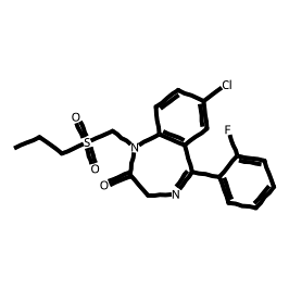 CCCS(=O)(=O)CN1C(=O)CN=C(c2ccccc2F)c2cc(Cl)ccc21